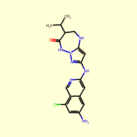 CC(C)C1CNc2cc(Nc3cc4cc(N)cc(Cl)c4cn3)nn2NC1=O